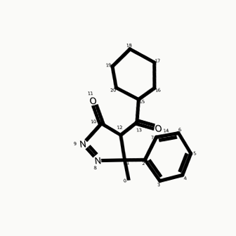 CC1(c2ccccc2)N=NC(=O)C1C(=O)C1CCCCC1